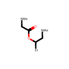 CCC(CNC)OC(=O)CNC